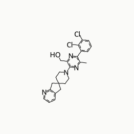 Cc1nc(N2CCC3(CC2)Cc2cccnc2C3)c(CO)nc1-c1cccc(Cl)c1Cl